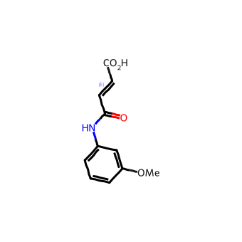 COc1cccc(NC(=O)/C=C/C(=O)O)c1